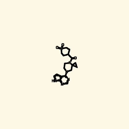 O=C(C1CCS(=O)(=O)CC1)N1CCN(c2ncnc3[nH]ccc23)CC12CC2